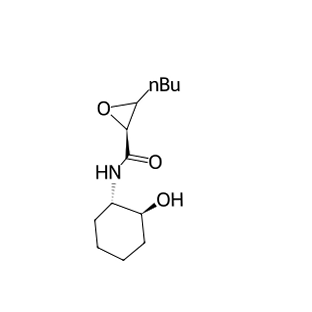 CCCCC1O[C@@H]1C(=O)N[C@H]1CCCC[C@@H]1O